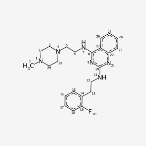 CN1CCN(CCNc2nc(NCCc3ccccc3F)nc3ccccc23)CC1